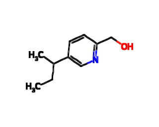 CCC(C)c1ccc(CO)nc1